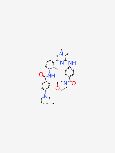 C=C1C(Nc2ccc(C(=O)N3CCOCC3)cc2)=NC(c2cccc(NC(=O)c3ccc(N4CCCC(C)C4)cc3)c2C)=CN1C